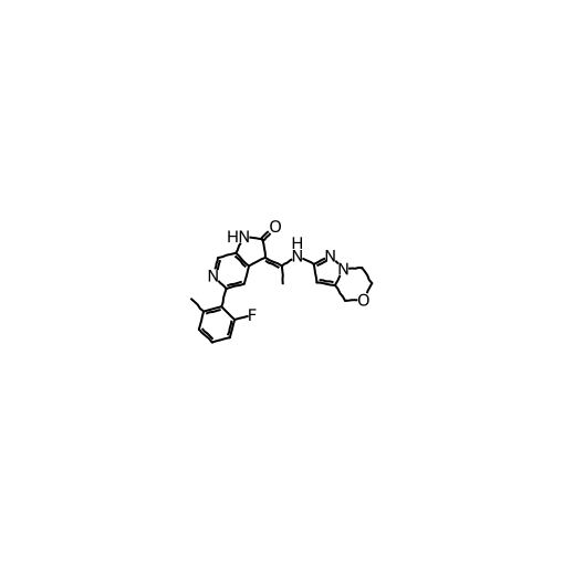 CC(Nc1cc2n(n1)CCOC2)=C1C(=O)Nc2cnc(-c3c(C)cccc3F)cc21